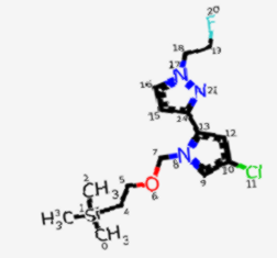 C[Si](C)(C)CCOCn1cc(Cl)cc1-c1ccn(CCF)n1